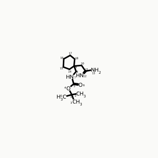 CC(C)(C)OC(=O)NCC1(CC(=N)N)CCCCC1